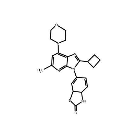 Cc1cc(N2CCOCC2)c2nc(C3CCC3)n(C3=CC4SC(=O)NC4C=C3)c2n1